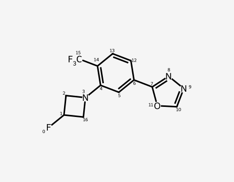 FC1CN(c2cc(-c3nnco3)ccc2C(F)(F)F)C1